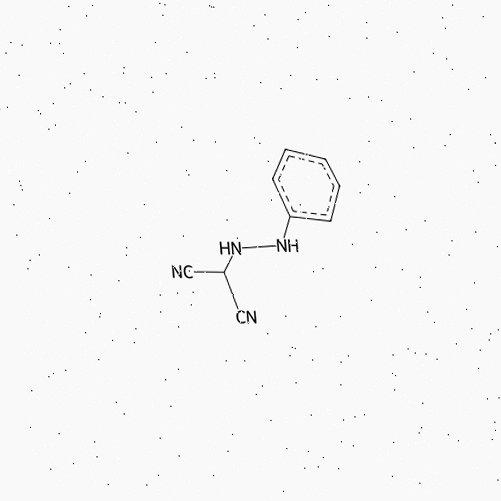 N#CC(C#N)NNc1ccccc1